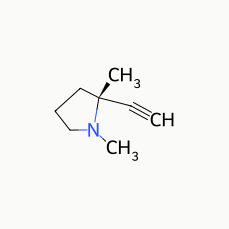 C#C[C@@]1(C)CCCN1C